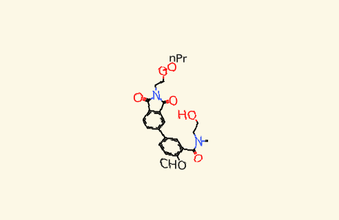 CCCOOCCN1C(=O)c2ccc(-c3ccc(C=O)c(C(=O)N(C)CCO)c3)cc2C1=O